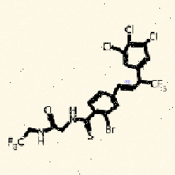 O=C(CNC(=S)c1ccc(/C=C/C(c2cc(Cl)c(Cl)c(Cl)c2)C(F)(F)F)cc1Br)NCC(F)(F)F